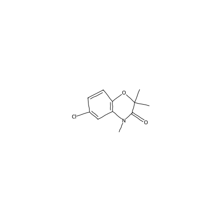 CN1C(=O)C(C)(C)Oc2ccc(Cl)cc21